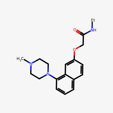 CCNC(=O)COc1ccc2cccc(N3CCN(C)CC3)c2c1